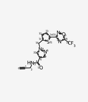 C#CCNC(=O)c1cnn(Cc2ccc(-c3noc(C(F)(F)F)n3)s2)c1